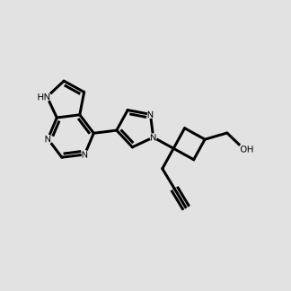 C#CCC1(n2cc(-c3ncnc4[nH]ccc34)cn2)CC(CO)C1